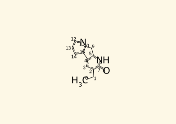 CCc1cc2c([nH]c1=O)Cc1ncccc1-2